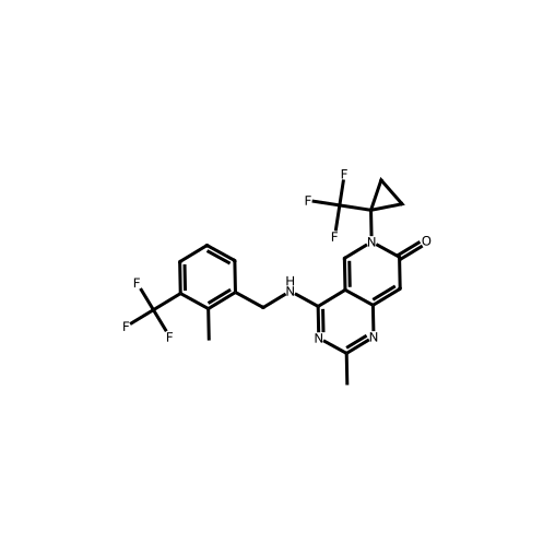 Cc1nc(NCc2cccc(C(F)(F)F)c2C)c2cn(C3(C(F)(F)F)CC3)c(=O)cc2n1